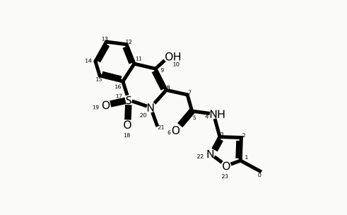 Cc1cc(NC(=O)CC2=C(O)c3ccccc3S(=O)(=O)N2C)no1